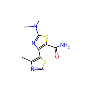 Cc1n[c]sc1-c1nc(N(C)C)sc1C(N)=O